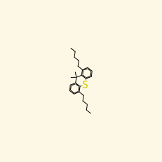 CCCCCc1cccc2c1Sc1cccc(CCCCC)c1C2(C)C